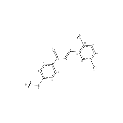 CSc1ccc(C(=O)/C=C/c2cc(Cl)ccc2Cl)cc1